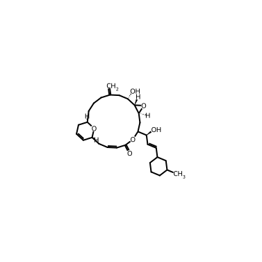 C=C1CCC[C@@H]2CC=C[C@@H](C/C=C\C(=O)OC([C@@H](O)/C=C/C3CCCC(C)C3)C[C@@H]3O[C@H]3[C@@H](O)C1)O2